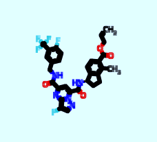 C=CCOC(=O)c1ccc2c(c1C)CC[C@@H]2NC(=O)c1cc(C(=O)NCc2ccc(F)c(C(F)(F)F)c2)nc2c(F)cnn12